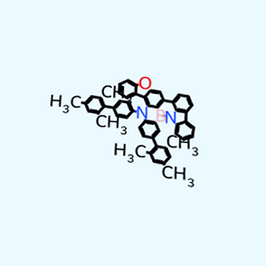 Cc1cc(C)c(-c2ccc(N3c4ccc(-c5c(C)cc(C)cc5C)cc4B4c5c(cc6oc7ccccc7c6c53)-c3cccc5c6ccccc6n4c35)cc2)c(C)c1